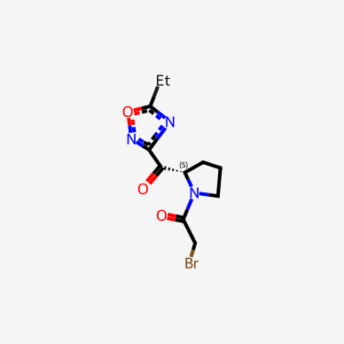 CCc1nc(C(=O)[C@@H]2CCCN2C(=O)CBr)no1